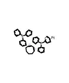 C1=C\CCCC\C=C/1.[Pt].c1ccc(P(c2ccccc2)c2ccccc2)cc1.c1ccc(P(c2ccccc2)c2ccccc2)cc1